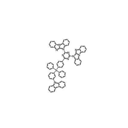 c1ccc([Si](c2ccccc2)(c2ccc(-c3nc(-n4c5ccccc5n5c6ccccc6nc45)nc(-n4c5ccccc5n5c6ccccc6nc45)n3)cc2)c2cccc(-n3c4ccccc4c4ccccc43)c2)cc1